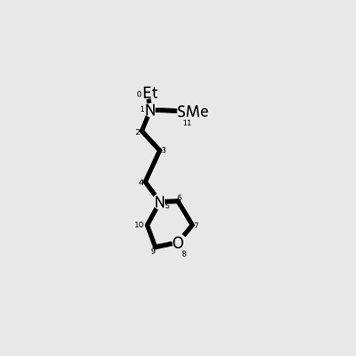 CCN(CCCN1CCOCC1)SC